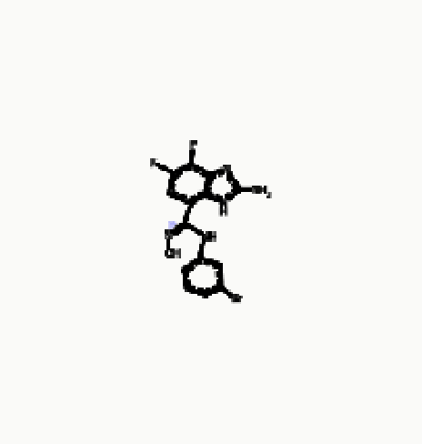 Nc1nc2c(F)c(F)cc(/C(=N/O)Nc3cccc(Br)c3)c2[nH]1